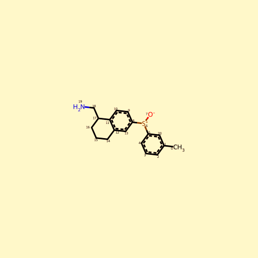 Cc1cccc([S+]([O-])c2ccc3c(c2)CCCC3CN)c1